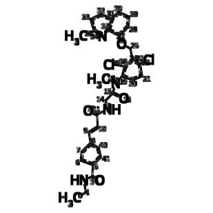 CCNC(=O)c1ccc(C=CC(=O)NCC(=O)N(C)c2ccc(Cl)c(COc3cccc4ccc(C)nc34)c2Cl)cc1